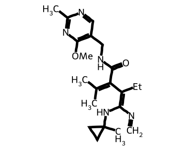 C=N/C(NC1(C)CC1)=C(\CC)C(C(=O)NCc1cnc(C)nc1OC)=C(C)C